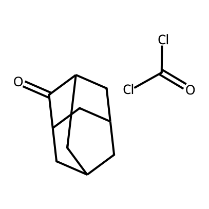 O=C(Cl)Cl.O=C1C2CC3CC(C2)CC1C3